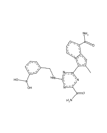 Cc1cc2c(C(N)=O)cccn2c1-c1nc(NCc2cccc(B(O)O)c2)nc(C(N)=O)n1